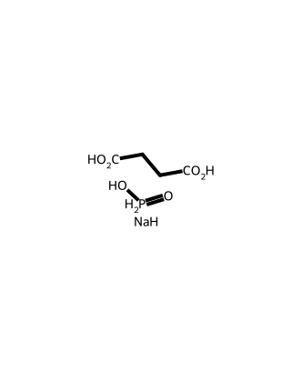 O=C(O)CCC(=O)O.O=[PH2]O.[NaH]